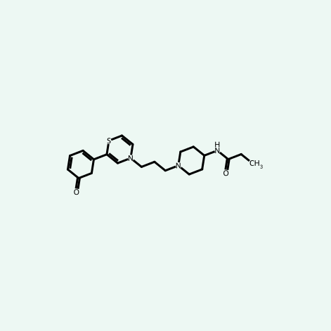 CCC(=O)NC1CCN(CCCN2C=CSC(C3=CC=CC(=O)C3)=C2)CC1